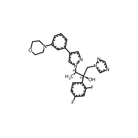 C[C@@H](n1cc(-c2cccc(N3CCOCC3)c2)cn1)[C@](O)(Cn1cncn1)c1ccc(F)cc1F